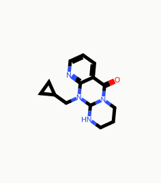 O=C1c2cccnc2N(CC2CC2)C2NCCCN12